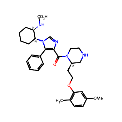 COc1ccc(C)c(OCC[C@@H]2CNCCN2C(=O)c2ncn([C@H]3CCCC[C@@H]3NC(=O)O)c2-c2ccccc2)c1